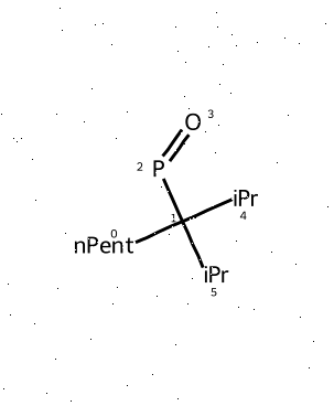 CCCCCC(P=O)(C(C)C)C(C)C